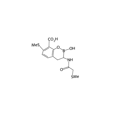 CSCC(=O)NC1Cc2ccc(SC)c(C(=O)O)c2OB1O